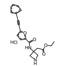 CCOC(=O)CC1(NC(=O)c2ccc(C#Cc3ccccc3)o2)CNC1.Cl